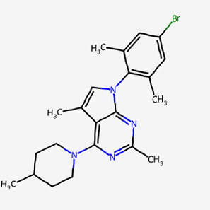 Cc1nc(N2CCC(C)CC2)c2c(C)cn(-c3c(C)cc(Br)cc3C)c2n1